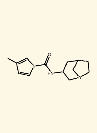 O=C(NC1CC2CCN(C2)C1)n1ccc(I)c1